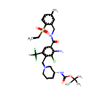 CCS(=O)(=O)c1ccc(C)cc1CNC(=O)c1cc(C(F)(F)F)c(CN2CCC[C@@H](NC(=O)OC(C)(C)C)C2)c(Cl)c1N